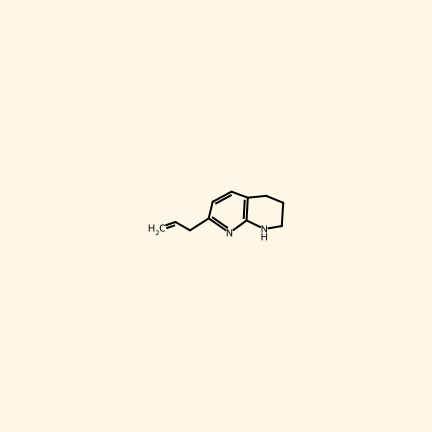 C=CCc1ccc2c(n1)NCCC2